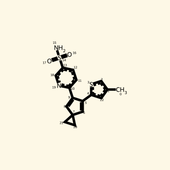 Cc1csc(C2=CC3(C=C2c2ccc(S(N)(=O)=O)cn2)CC3)c1